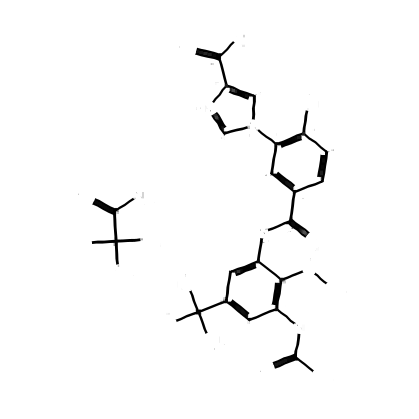 CC(C)(C)C(N)=O.COc1c(NC(C)=O)cc(C(C)(C)C)cc1NC(=O)c1ccc(C)c(-n2cnc(C(=O)O)c2)c1